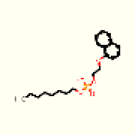 CCCCCCCCOP(=O)(O)OCCOc1cccc2ccccc12